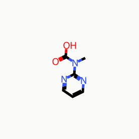 CN(C(=O)O)c1ncccn1